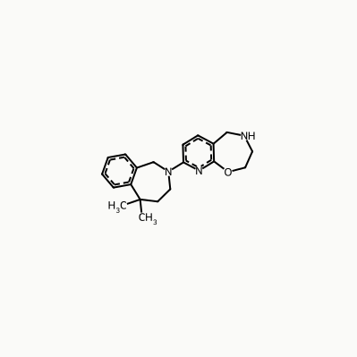 CC1(C)CCN(c2ccc3c(n2)OCCNC3)Cc2ccccc21